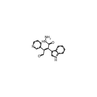 NNC(=O)C(=C(C=O)c1cccnc1)c1c[nH]c2ccccc12